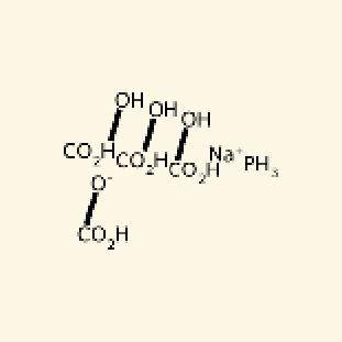 O=C(O)O.O=C(O)O.O=C(O)O.O=C([O-])O.P.[Na+]